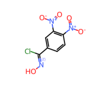 O=[N+]([O-])c1ccc(/C(Cl)=N/O)cc1[N+](=O)[O-]